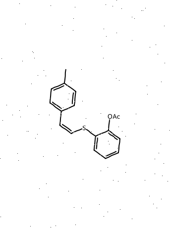 CC(=O)Oc1ccccc1S/C=C\c1ccc(C)cc1